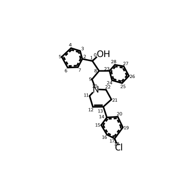 OC(c1ccccc1)C(CN1CC=C(c2ccc(Cl)cc2)CC1)c1ccccc1